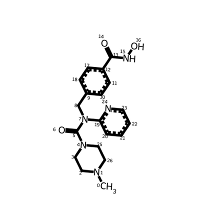 CN1CCN(C(=O)N(Cc2ccc(C(=O)NO)cc2)c2ccccn2)CC1